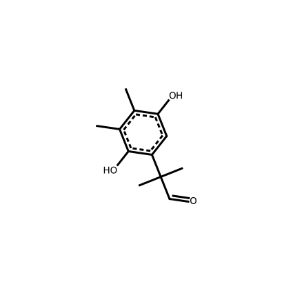 Cc1c(O)cc(C(C)(C)C=O)c(O)c1C